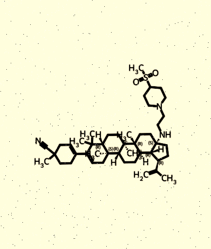 C=C(C)[C@@H]1CC[C@]2(NCCN3CCC(S(C)(=O)=O)CC3)CC[C@]3(C)[C@H](CC[C@@H]4[C@@]5(C)CC=C(C6=CCC(C)(C#N)CC6)C(C)(C)[C@@H]5CC[C@]43C)[C@@H]12